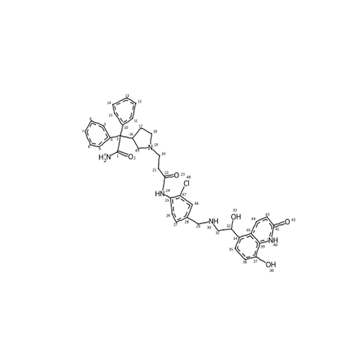 NC(=O)C(c1ccccc1)(c1ccccc1)C1CCN(CCC(=O)Nc2ccc(CNCC(O)c3ccc(O)c4[nH]c(=O)ccc34)cc2Cl)C1